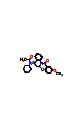 COc1cccc(C(=O)N2c3ccccc3[C@@H](N(C(C)=O)C3CCCCC3)CC2C)c1